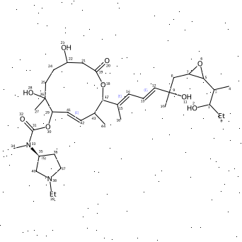 CCC(O)C(C)C1OC1CC(C)(O)/C=C/C=C(\C)C1OC(=O)CC(O)CCC(C)(O)C(OC(=O)N(C)[C@H]2CCN(CC)C2)/C=C/C1C